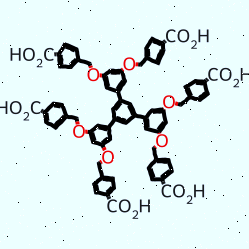 O=C(O)c1ccc(COc2cc(OCc3ccc(C(=O)O)cc3)cc(-c3cc(-c4cc(OCc5ccc(C(=O)O)cc5)cc(OCc5ccc(C(=O)O)cc5)c4)cc(-c4cc(OCc5ccc(C(=O)O)cc5)cc(OCc5ccc(C(=O)O)cc5)c4)c3)c2)cc1